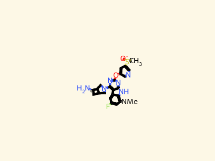 CNc1cc(F)cc2c1[nH]c1nc(Oc3cncc([S+](C)[O-])c3)nc(N3CC4C[C@@H](N)C4C3)c12